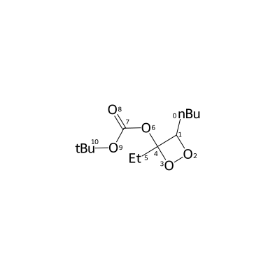 CCCCC1OOC1(CC)OC(=O)OC(C)(C)C